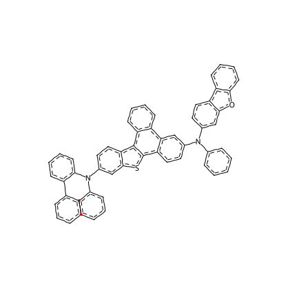 c1ccc(-c2ccccc2N(c2ccccc2)c2ccc3c(c2)sc2c4ccc(N(c5ccccc5)c5ccc6c(c5)oc5ccccc56)cc4c4ccccc4c32)cc1